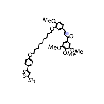 COc1ccc(/C=C/C(=O)c2cc(OC)c(OC)c(OC)c2)cc1OCCCCCCCCCOc1ccc(C2=CC(S)SS2)cc1